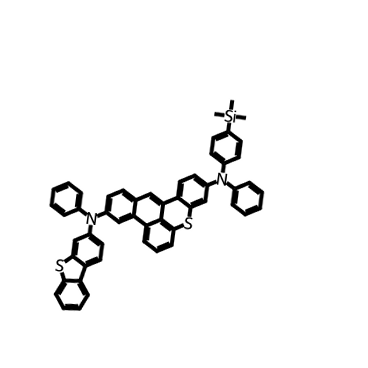 C[Si](C)(C)c1ccc(N(c2ccccc2)c2ccc3c(c2)Sc2cccc4c2c-3cc2ccc(N(c3ccccc3)c3ccc5c(c3)sc3ccccc35)cc24)cc1